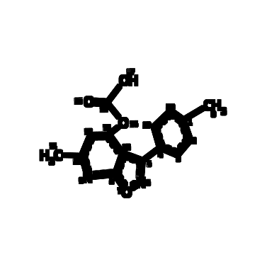 Cc1ccc(-c2noc3nc(C)cc(OC(=O)O)c23)cc1